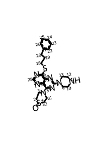 [O-][S+]1CCN(c2nc(N3CCNCC3)nc3c(SCCCc4ccccc4)ncnc23)CC1